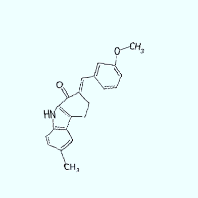 COc1cccc(/C=C2\CCc3c([nH]c4ccc(C)cc34)C2=O)c1